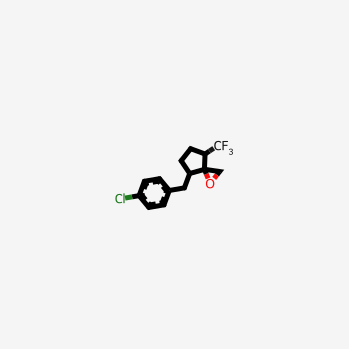 FC(F)(F)C1CCC(Cc2ccc(Cl)cc2)C12CO2